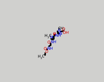 C=CCOC(=O)NCCC(=O)Nc1cc(C(=O)Nc2cn(C)c(C(=O)O)n2)n(C)c1